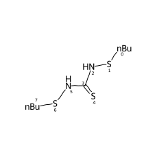 CCCCSNC(=S)NSCCCC